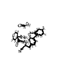 N#CC(Cc1ccc2c(c1)OCc1cc(F)ccc1-2)NC(=O)C1(N)CCOCC1.O=CO